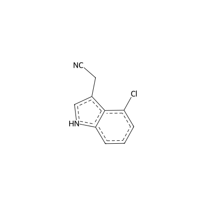 N#CCc1c[nH]c2cccc(Cl)c12